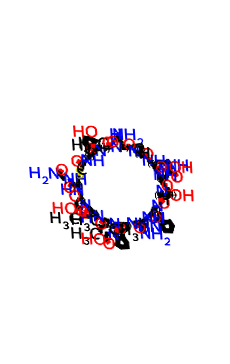 CCCC[C@H]1C(=O)N(C)[C@@H](CCCC)C(=O)N[C@@H](CC(=O)O)C(=O)N[C@H](C(=O)NCC(N)=O)CSCC(=O)N[C@@H](Cc2ccc(O)cc2)C(=O)N(C)[C@@H](C)C(=O)N[C@@H](CC(N)=O)C(=O)N2CCC[C@H]2C(=O)N[C@@H](Cc2c[nH]cn2)C(=O)N[C@@H](CCC(=O)O)C(=O)N2C[C@H](O)C[C@H]2C(=O)N[C@@H](Cc2c[nH]c3ccccc23)C(=O)N[C@@H](CCN)C(=O)N[C@@H](Cc2cn(CC(=O)O)c3ccccc23)C(=O)N1C